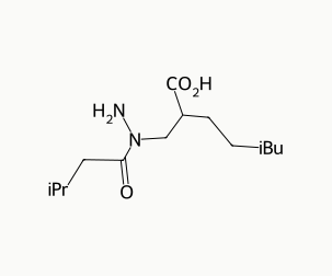 CCC(C)CCC(CN(N)C(=O)CC(C)C)C(=O)O